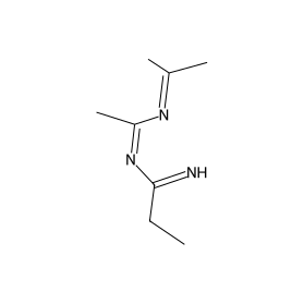 CCC(=N)/N=C(/C)N=C(C)C